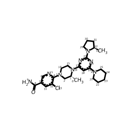 C[C@@H]1CN(c2ncc(C(N)=O)cc2Cl)CCN1c1cc(N2CCCCC2)nc(N2CCC[C@H]2C)n1